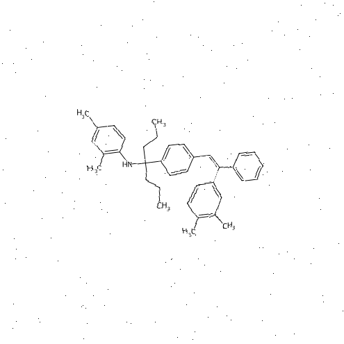 CCCC(CCC)(Nc1ccc(C)cc1C)c1ccc(/C=C(/c2ccccc2)c2ccc(C)c(C)c2)cc1